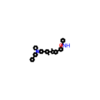 CC1=C(c2ccc(-c3ccc(N(c4ccc(-c5ccccc5)cc4)C4C=CC=CC4)cc3)cc2C)Cc2ccc(-c3cccc(OC(=N)c4ccccc4)c3)cc21